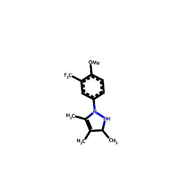 COc1ccc(N2NC(C)C(C)=C2C)cc1C(F)(F)F